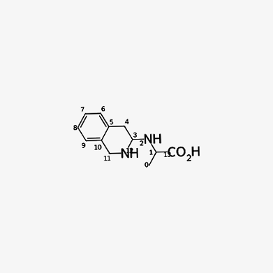 CC(NC1Cc2ccccc2CN1)C(=O)O